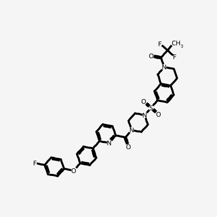 CC(F)(F)C(=O)N1CCc2ccc(S(=O)(=O)N3CCN(C(=O)c4cccc(-c5ccc(Oc6ccc(F)cc6)cc5)n4)CC3)cc2C1